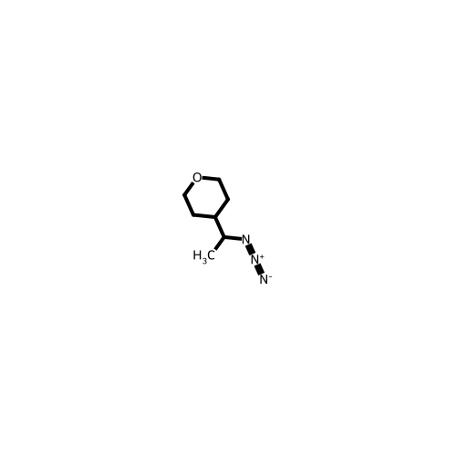 CC(N=[N+]=[N-])C1CCOCC1